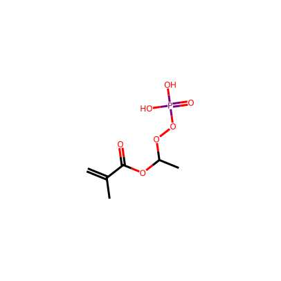 C=C(C)C(=O)OC(C)OOP(=O)(O)O